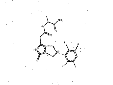 CC(NC(=O)Cc1[nH]c(=S)n2c1C[C@H](c1c(F)c(F)cc(F)c1F)C2)C(N)=O